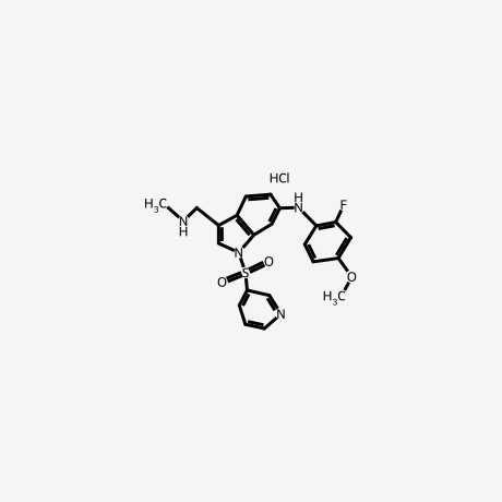 CNCc1cn(S(=O)(=O)c2cccnc2)c2cc(Nc3ccc(OC)cc3F)ccc12.Cl